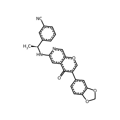 C[C@H](Nc1cc2c(=O)c(-c3ccc4c(c3)OCO4)coc2cn1)c1cccc(C#N)c1